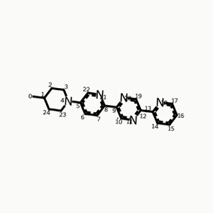 CC1CCN(c2ccc(-c3[c]nc(-c4ccccn4)cn3)nc2)CC1